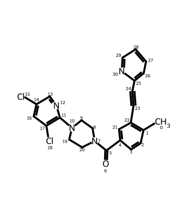 Cc1ccc(C(=O)N2CCN(c3ncc(Cl)cc3Cl)CC2)cc1C#Cc1ccccn1